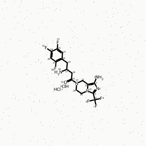 Cl.Cl.Nc1nc(C(F)(F)F)n2c1CN(C(=O)CC(N)Cc1cc(F)c(F)cc1F)CC2